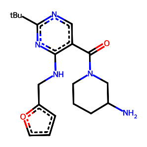 CC(C)(C)c1ncc(C(=O)N2CCCC(N)C2)c(NCc2ccco2)n1